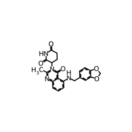 Cc1nc2cccc(NCc3ccc4c(c3)OCO4)c2c(=O)n1C1CCC(=O)NC1=O